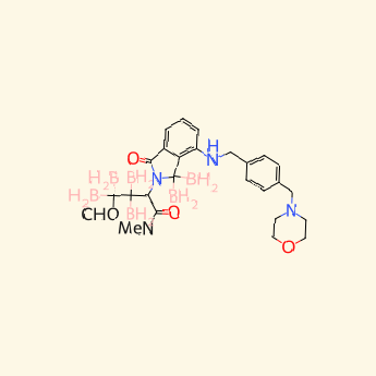 BC1(B)c2c(NCc3ccc(CN4CCOCC4)cc3)cccc2C(=O)N1C(C(=O)NC)C(B)(B)C(B)(B)C=O